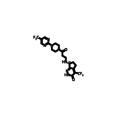 O=C(CCN[C@@H]1CCc2c1n[nH]c(=O)c2C(F)(F)F)N1CCN(c2ncc(C(F)(F)F)cn2)CC1